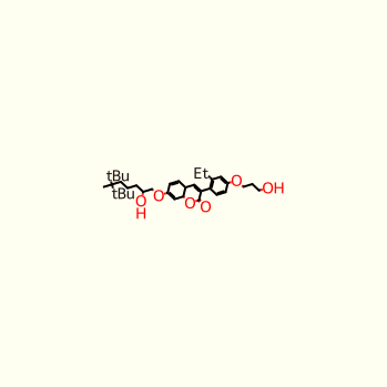 CCc1cc(OCCCO)ccc1C1=CC2C=CC(OCC(O)CCCC(C)(C(C)(C)C)C(C)(C)C)=CC2OC1=O